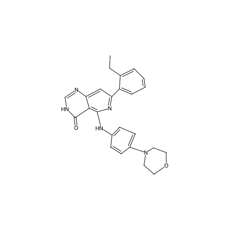 O=c1[nH]cnc2cc(-c3ccccc3CI)nc(Nc3ccc(N4CCOCC4)cc3)c12